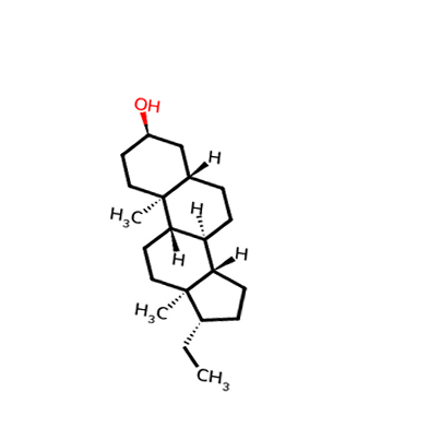 CC[C@H]1CC[C@H]2[C@@H]3CC[C@H]4C[C@H](O)CC[C@]4(C)[C@H]3CC[C@]12C